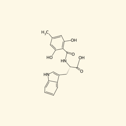 Cc1cc(O)c(C(=O)N[C@@H](Cc2c[nH]c3ccccc23)C(=O)O)c(O)c1